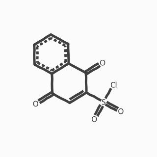 O=C1C=C(S(=O)(=O)Cl)C(=O)c2ccccc21